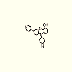 Oc1cccc2c1Oc1cc(-c3ccncc3)ccc1N2C1CCNCC1